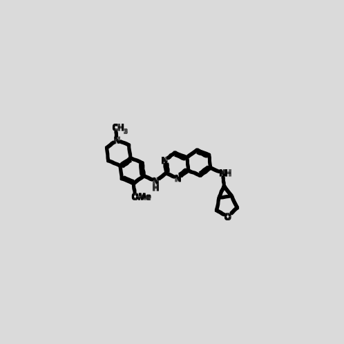 COc1cc2c(cc1Nc1ncc3ccc(NC4C5COCC54)cc3n1)CN(C)CC2